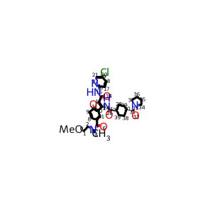 COCCN(C)C(=O)c1ccc2oc(C(=O)Nc3ccc(Cl)cn3)c(NC(=O)[C@H]3CC[C@H](C(=O)N4CCCC4)CC3)c2c1